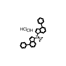 C[Si](C)=[Zr]([CH]1C=Cc2c(-c3ccccc3)cccc21)[CH]1C=Cc2c(-c3ccccc3)cccc21.Cl.Cl